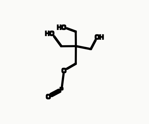 O=POCC(CO)(CO)CO